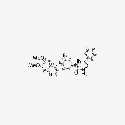 COc1cc2nccc(Oc3ccc(N(NC(=O)c4ccccc4)C(N)=O)cc3F)c2cc1OC